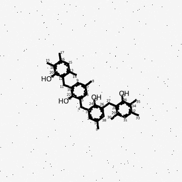 Cc1cc(Cc2cc(C)cc(Cc3c(C)cc(C)c(C)c3O)c2O)c(O)c(Cc2c(C)cc(C)c(C)c2O)c1